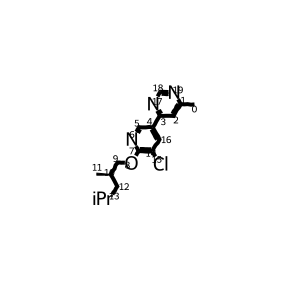 Cc1cc(-c2cnc(OC[C@H](C)CC(C)C)c(Cl)c2)ncn1